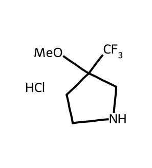 COC1(C(F)(F)F)CCNC1.Cl